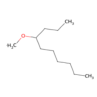 [CH2]OC(CCC)CCCCCC